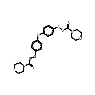 S=C(SSc1ccc(Oc2ccc(SSC(=S)N3CCOCC3)cc2)cc1)N1CCOCC1